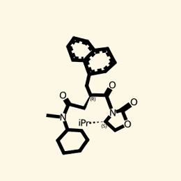 CC(C)[C@H]1COC(=O)N1C(=O)[C@@H](CC(=O)N(C)C1CCCCC1)Cc1cccc2ccccc12